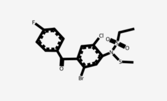 CCS(=O)(=O)N(SC)c1cc(Br)c(C(=O)c2ccc(F)cc2)cc1Cl